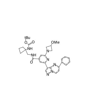 COC1CN(c2cc(C(=O)NCC3(NC(=O)OC(C)(C)C)CCC3)cc(-c3cnn4ccc(-c5ccccc5)nc34)n2)C1